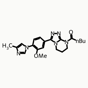 CCCCC(=O)N1CCCn2c(-c3ccc(-n4cnc(C)c4)c(OC)c3)nnc21